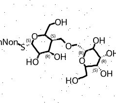 CCCCCCCCCS[C@@H]1OC(CO)[C@@H](COC[C@H]2OC(CO)[C@@H](O)[C@@H](O)C2O)[C@@H](O)C1O